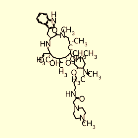 C[C@H]1CN(C)C(=O)[C@H](Cc2c[nH]c3ccccc23)NC[C@](C)(C=O)[C@@H](O)[C@H](C)[C@@H](O[C@@H]2O[C@H](C)C[C@H](N(C)C)[C@H]2OCCCNC(=O)CN2CCN(C)CC2)[C@](C)(O)C1